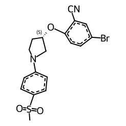 CS(=O)(=O)c1ccc(N2CC[C@H](Oc3ccc(Br)cc3C#N)C2)cc1